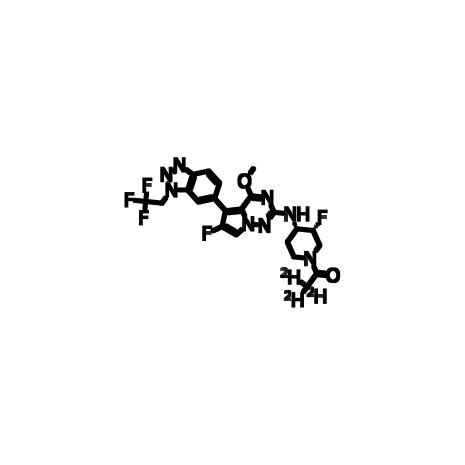 [2H]C([2H])([2H])C(=O)N1CC[C@H](Nc2nc(OC)c3c(-c4ccc5nnn(CC(F)(F)F)c5c4)c(F)cn3n2)[C@H](F)C1